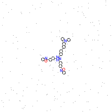 c1ccc(-n2c3ccccc3c3cc4cc(-c5ccc6cc(-c7nc(-c8ccc9cc(-c%10nc%11ccccc%11o%10)ccc9c8)nc(-c8ccc9cc(-c%10nc%11ccccc%11o%10)ccc9c8)n7)ccc6c5)ccc4cc32)cc1